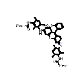 CCCC(C)C(=O)Nc1c(C)cc(C)c(/N=c2/ccc3c(-c4ccccc4S(=O)(=O)O)c4ccc(Nc5c(C)cc(C)c(NC(=O)C(C)CCC)c5C)cc4oc-3c2)c1C